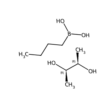 CCCCB(O)O.C[C@@H](O)[C@@H](C)O